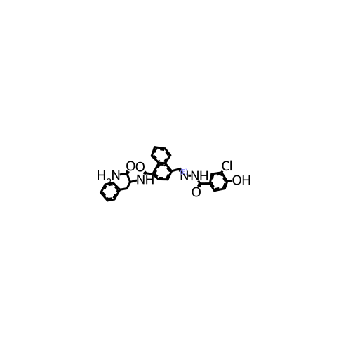 NC(=O)C(Cc1ccccc1)NC(=O)c1ccc(/C=N/NC(=O)c2ccc(O)c(Cl)c2)c2ccccc12